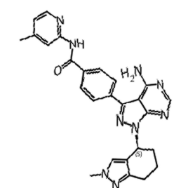 Cc1ccnc(NC(=O)c2ccc(-c3nn([C@H]4CCCc5nn(C)cc54)c4ncnc(N)c34)cc2)c1